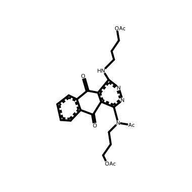 CC(=O)OCCCNc1nnc(N(CCCOC(C)=O)C(C)=O)c2c1C(=O)c1ccccc1C2=O